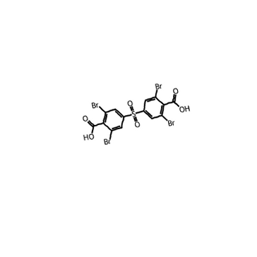 O=C(O)c1c(Br)cc(S(=O)(=O)c2cc(Br)c(C(=O)O)c(Br)c2)cc1Br